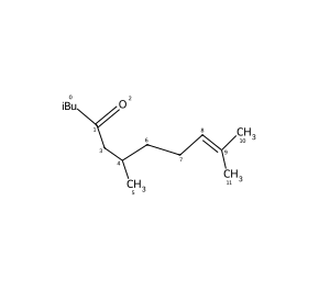 CCC(C)C(=O)CC(C)CCC=C(C)C